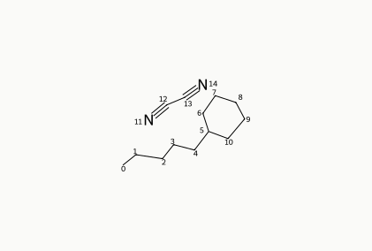 CCCCCC1CCCCC1.N#CC#N